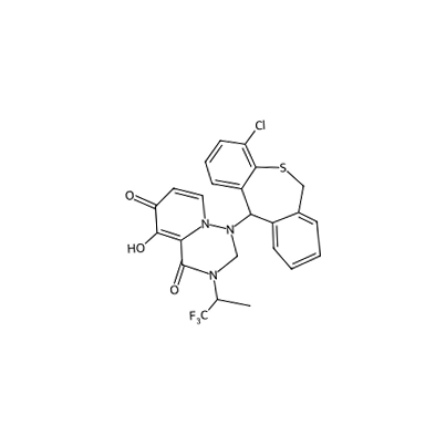 CC(N1CN(C2c3ccccc3CSc3c(Cl)cccc32)n2ccc(=O)c(O)c2C1=O)C(F)(F)F